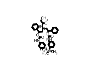 CCC(=O)NN(CC(OC(=O)Nc1ccccc1)c1ccccc1)CC(OC(=O)Nc1ccc[c]([Sn]([CH3])([CH3])[CH3])c1)c1ccccc1